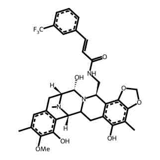 COc1c(C)cc2c(c1O)[C@H]1C3Cc4c(O)c(C)c5c(c4[C@H](CNC(=O)/C=C/c4cccc(C(F)(F)F)c4)N3[C@@H](O)[C@@H](C2)N1C)OCO5